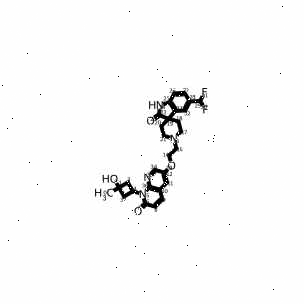 CC1(O)CC(n2c(=O)ccc3cc(OCCN4CCC5(CC4)C(=O)Nc4ccc(C(F)F)cc45)cnc32)C1